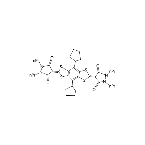 CCCN1C(=O)C(=C2Sc3c(c(C4CCCC4)c4c(c3C3CCCC3)SC(=C3C(=O)N(CCC)N(CCC)C3=O)S4)S2)C(=O)N1CCC